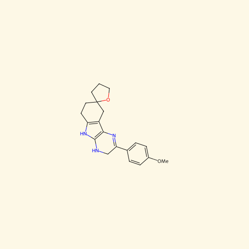 COc1ccc(C2=Nc3c([nH]c4c3CC3(CCCO3)CC4)NC2)cc1